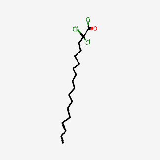 CCCCCCCCCCCCCCCCC(Cl)(Cl)C(=O)Cl